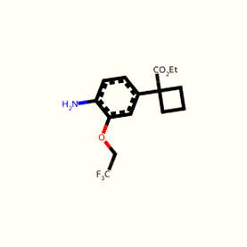 CCOC(=O)C1(c2ccc(N)c(OCC(F)(F)F)c2)CCC1